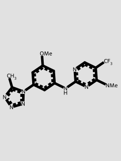 CNc1nc(Nc2cc(OC)cc(-n3nnnc3C)c2)ncc1C(F)(F)F